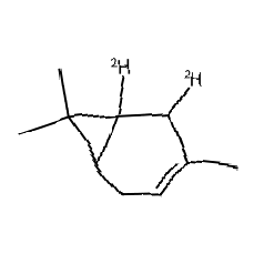 [2H]C1C(C)=CCC2C(C)(C)C12[2H]